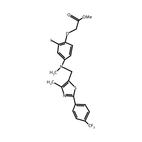 COC(=O)COc1ccc(N(C)Cc2sc(-c3ccc(C(F)(F)F)cc3)nc2C)cc1I